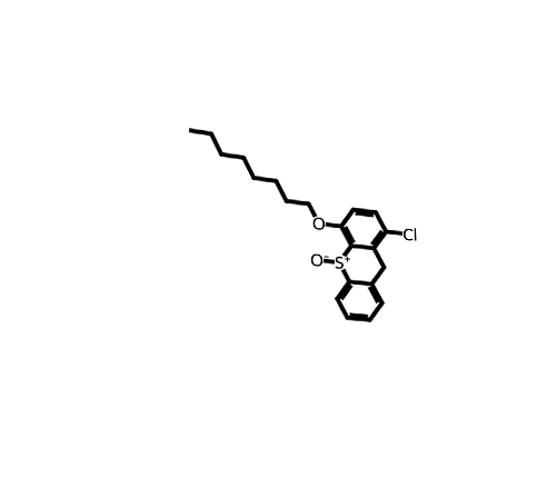 CCCCCCCCOc1ccc(Cl)c2c1[S+]([O-])c1ccccc1C2